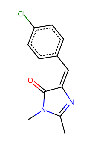 CC1=NC(=Cc2ccc(Cl)cc2)C(=O)N1C